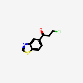 O=C(CCCl)c1ccc2scnc2c1